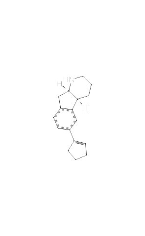 C1=C(c2ccc3c(c2)[C@H]2CCCN[C@H]2C3)CCC1